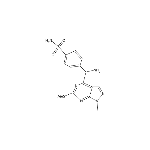 CSc1nc(C(N)c2ccc(S(N)(=O)=O)cc2)c2cnn(C)c2n1